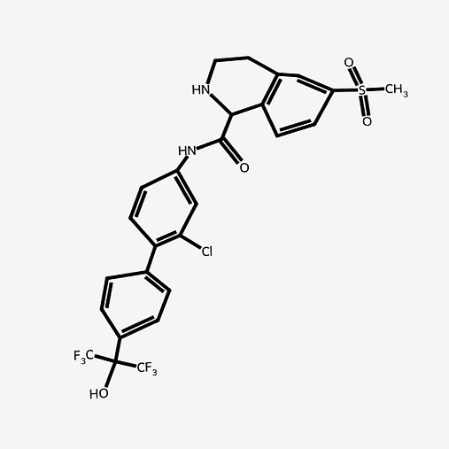 CS(=O)(=O)c1ccc2c(c1)CCNC2C(=O)Nc1ccc(-c2ccc(C(O)(C(F)(F)F)C(F)(F)F)cc2)c(Cl)c1